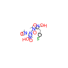 CC1COc2nc(CO)c(Cc3ccc(F)cc3)cc2N1C(=O)CN1C[C@@H](C)N(C(=O)O)C[C@@H]1CN1[C@H](C)COC[C@H]1C